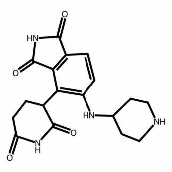 O=C1CCC(c2c(NC3CCNCC3)ccc3c2C(=O)NC3=O)C(=O)N1